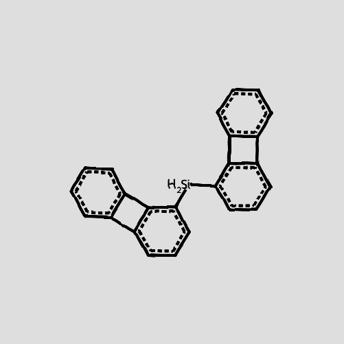 c1ccc2c(c1)-c1cccc([SiH2]c3cccc4c3-c3ccccc3-4)c1-2